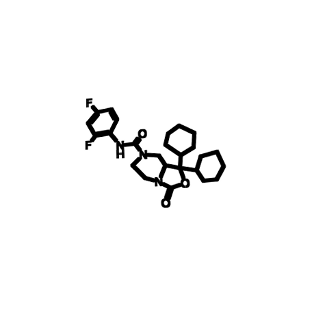 O=C(Nc1ccc(F)cc1F)N1CCN2C(=O)OC(C3CCCCC3)(C3CCCCC3)C2C1